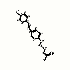 CC(=O)COOOc1ccc(/N=N/c2ccc(C)cc2)cc1